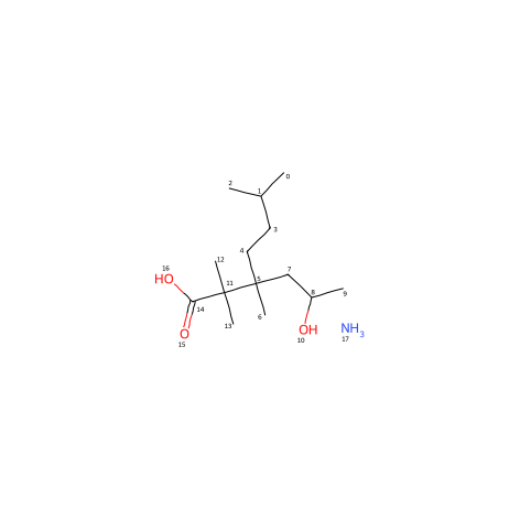 CC(C)CCC(C)(CC(C)O)C(C)(C)C(=O)O.N